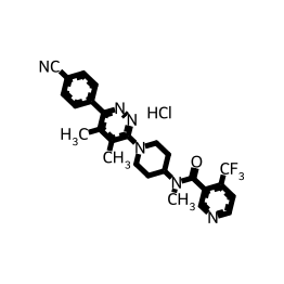 Cc1c(-c2ccc(C#N)cc2)nnc(N2CCC(N(C)C(=O)c3cnccc3C(F)(F)F)CC2)c1C.Cl